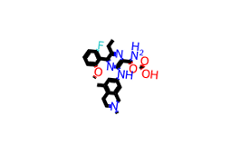 CCc1nc(C(N)=O)c(Nc2cc(C)c3c(c2)CN(C)CC3)nc1-c1c(F)cccc1OC.O=CO